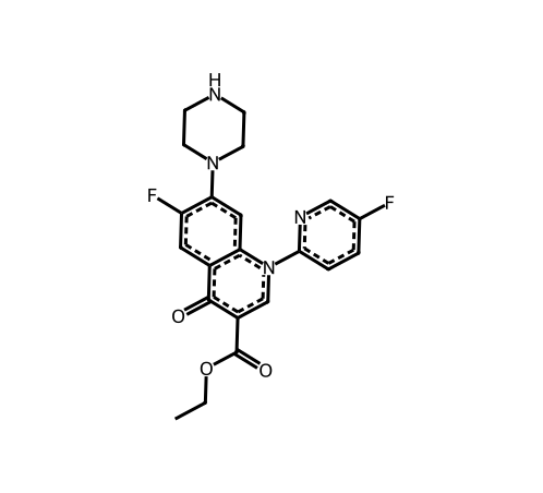 CCOC(=O)c1cn(-c2ccc(F)cn2)c2cc(N3CCNCC3)c(F)cc2c1=O